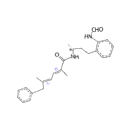 C/C(=C\C=C(/C)C(=O)N[C@H](C)CCc1ccccc1NC=O)Cc1ccccc1